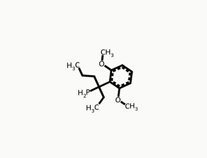 CCCC(P)(CC)c1c(OC)cccc1OC